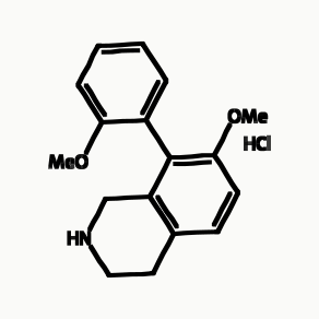 COc1ccccc1-c1c(OC)ccc2c1CNCC2.Cl